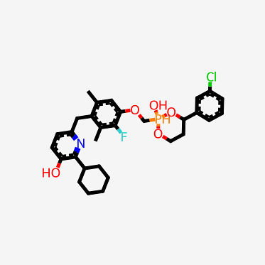 Cc1cc(OC[PH]2(O)OCCC(c3cccc(Cl)c3)O2)c(F)c(C)c1Cc1ccc(O)c(C2CCCCC2)n1